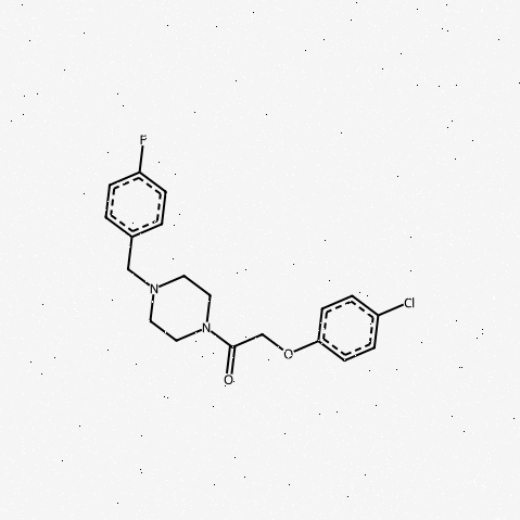 O=C(COc1ccc(Cl)cc1)N1CCN(Cc2ccc(F)cc2)CC1